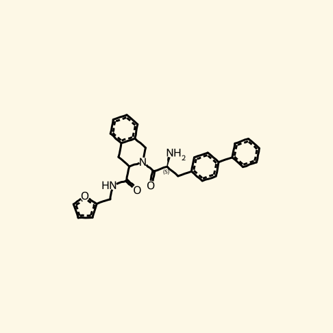 N[C@@H](Cc1ccc(-c2ccccc2)cc1)C(=O)N1Cc2ccccc2CC1C(=O)NCc1ccco1